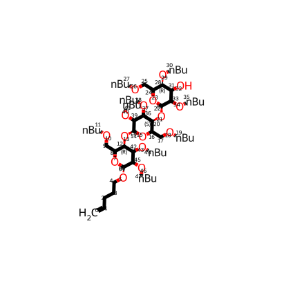 C=CCCCO[C@@H]1OC(COCCCC)[C@@H](O[C@@H]2OC(COCCCC)[C@H](O[C@H]3OC(COCCCC)[C@H](OCCCC)C(O)C3OCCCC)C(OCCCC)C2OCCCC)C(OCCCC)C1OCCCC